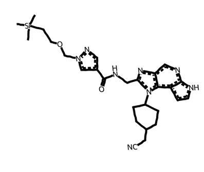 C[Si](C)(C)CCOCn1cc(C(=O)NCc2nc3cnc4[nH]ccc4c3n2C2CCC(CC#N)CC2)cn1